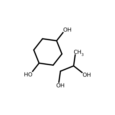 CC(O)CO.OC1CCC(O)CC1